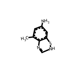 Cc1cc(N)cc2c1N=CNS2